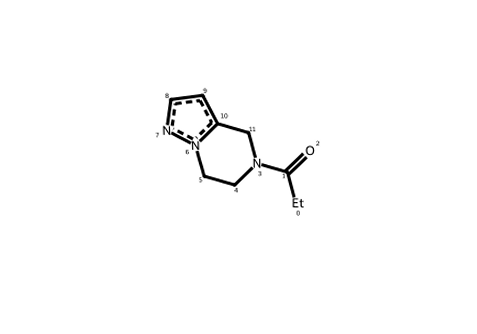 CCC(=O)N1CCn2nccc2C1